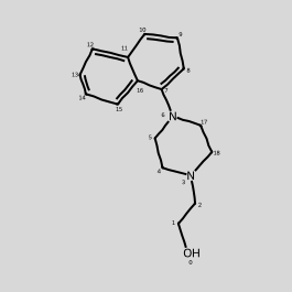 OCCN1CCN(c2cccc3ccccc23)CC1